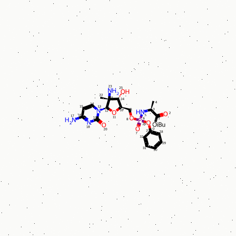 CC(C)COC(=O)[C@H](C)NP(=O)(OC[C@H]1O[C@@H](n2ccc(N)nc2=O)[C@](C)(N)[C@@H]1O)Oc1ccccc1